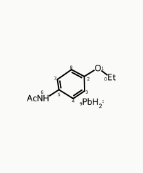 CCOc1ccc(NC(C)=O)cc1.[PbH2]